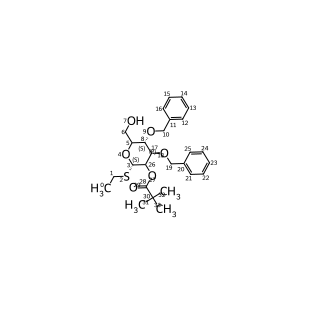 CCS[C@@H]1OC(CO)[C@H](OCc2ccccc2)[C@@H](OCc2ccccc2)C1OC(=O)C(C)(C)C